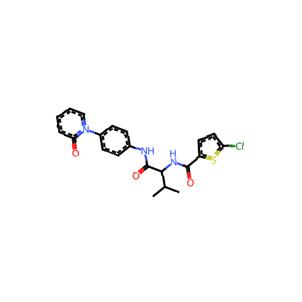 CC(C)C(NC(=O)c1ccc(Cl)s1)C(=O)Nc1ccc(-n2ccccc2=O)cc1